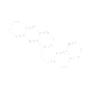 C1=CN2CC=c3ccccc3=C2c2ccc3nc4ccccc4cc3c21